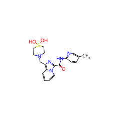 O=C(Nc1ccc(C(F)(F)F)cn1)c1nc(CN2CCS(O)(O)CC2)c2ccccn12